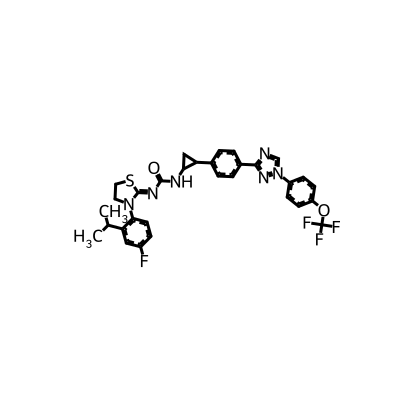 CC(C)c1cc(F)ccc1N1CCS/C1=N\C(=O)NC1CC1c1ccc(-c2ncn(-c3ccc(OC(F)(F)F)cc3)n2)cc1